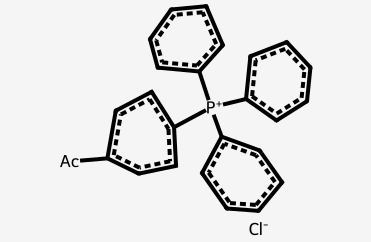 CC(=O)c1ccc([P+](c2ccccc2)(c2ccccc2)c2ccccc2)cc1.[Cl-]